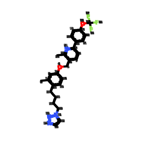 Cc1cc(OCc2ccc(-c3ccc(OC(F)(F)F)cc3)nc2C)ccc1CCCCn1ccnn1